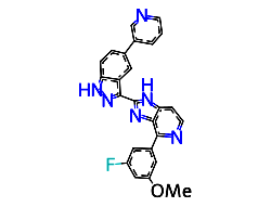 COc1cc(F)cc(-c2nccc3[nH]c(-c4n[nH]c5ccc(-c6cccnc6)cc45)nc23)c1